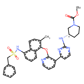 Cc1ccc2c(NS(=O)(=O)Cc3ccccc3)cccc2c1Oc1ncccc1-c1ccnc(N[C@H]2CCCN(C(=O)OC(C)(C)C)C2)n1